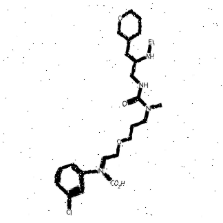 CCNC(CNC(=O)N(C)CCCOCCN(C(=O)O)c1cccc(Cl)c1)CC1CCCOC1